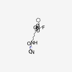 O=C(/C=C/c1cccnc1)NCCCCCCCS(=O)(=O)N(CCF)OCC1CCCCC1